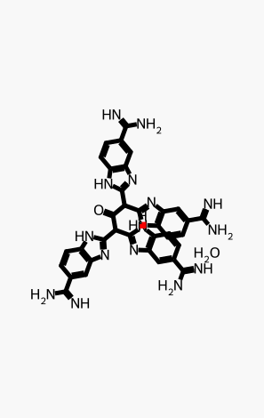 N=C(N)c1ccc2[nH]c(C(C(=O)C(c3nc4cc(C(=N)N)ccc4[nH]3)c3nc4cc(C(=N)N)ccc4[nH]3)c3nc4cc(C(=N)N)ccc4[nH]3)nc2c1.O